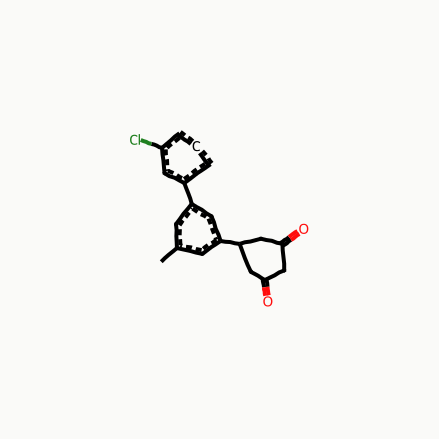 Cc1cc(-c2cccc(Cl)c2)cc(C2CC(=O)CC(=O)C2)c1